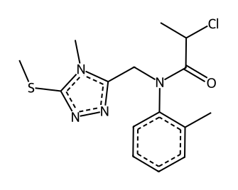 CSc1nnc(CN(C(=O)C(C)Cl)c2ccccc2C)n1C